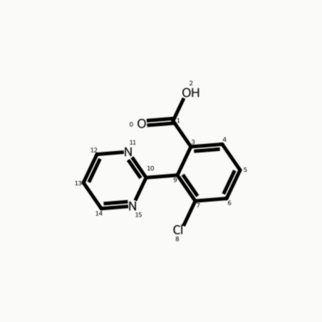 O=C(O)c1cccc(Cl)c1-c1ncccn1